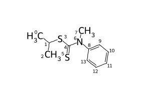 CC(C)SC(=S)N(C)c1ccccc1